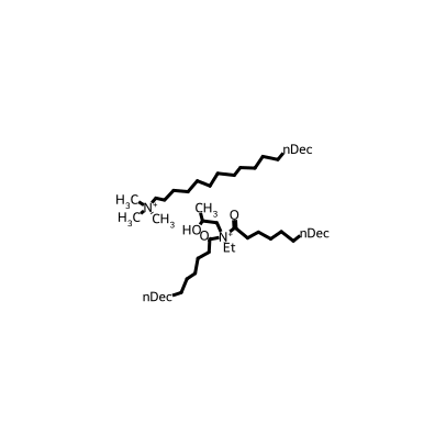 CCCCCCCCCCCCCCCC(=O)[N+](CC)(CC(C)O)C(=O)CCCCCCCCCCCCCCC.CCCCCCCCCCCCCCCCCCCCCC[N+](C)(C)C